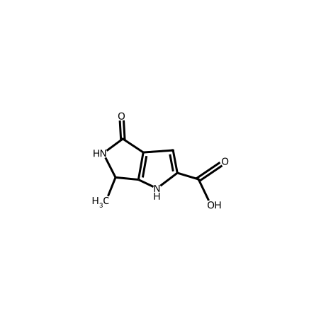 CC1NC(=O)c2cc(C(=O)O)[nH]c21